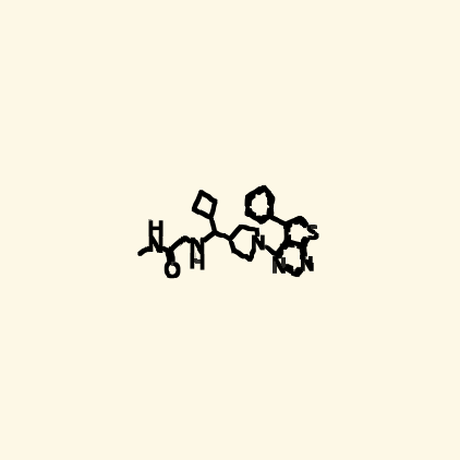 CNC(=O)CNC(C1CCC1)C1CCN(c2ncnc3scc(-c4ccccc4)c23)CC1